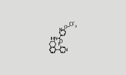 O=C(N[C@@H]1CCc2cccc(-c3ccncc3F)c2C1)c1ccc(OCC(F)(F)F)nc1